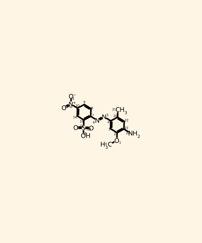 COc1cc(N=Nc2ccc([N+](=O)[O-])cc2S(=O)(=O)O)c(C)cc1N